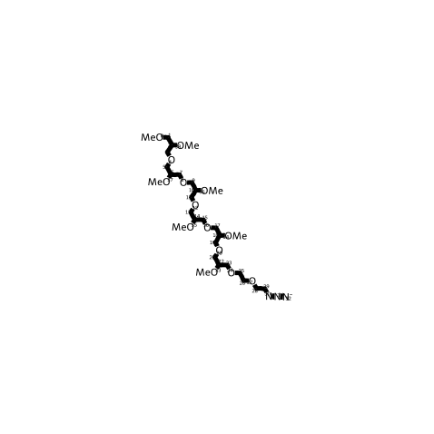 COCC(COCC(COCC(COCC(COCC(COCC(COCCOCCN=[N+]=[N-])OC)OC)OC)OC)OC)OC